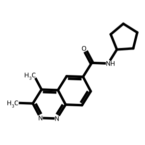 Cc1nnc2ccc(C(=O)NC3CCCC3)cc2c1C